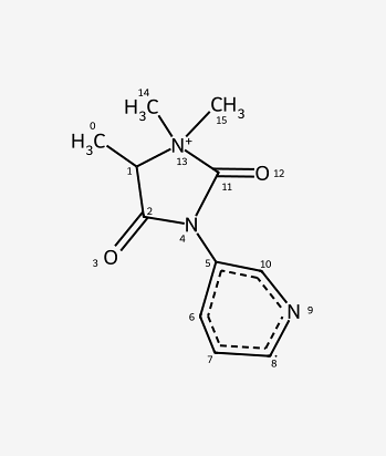 CC1C(=O)N(c2cc[c]nc2)C(=O)[N+]1(C)C